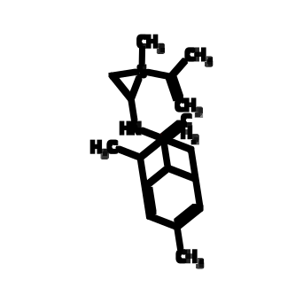 C=C(NC1CS1(C)C(=C)C)C1C2=CC(C)=CC1CCC2C